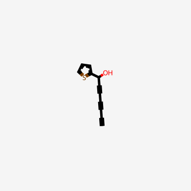 C#CC#CC#CC(O)c1cccs1